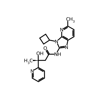 Cc1ccc2nc(NC(=O)C[C@@](C)(O)c3ccccn3)n(C3CCC3)c2n1